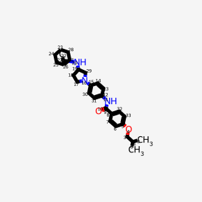 CC(C)COc1ccc(C(=O)Nc2ccc(N3CCC(NC4CC5CCC4CC5)C3)cc2)cc1